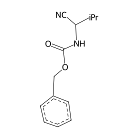 CC(C)C(C#N)NC(=O)OCc1ccccc1